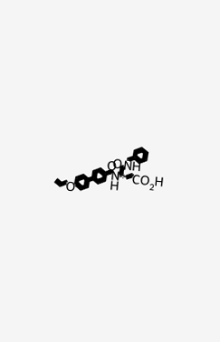 C=CCOc1ccc(-c2ccc(C(=O)N[C@@H](CCC(=O)O)C(=O)NCc3ccccc3)cc2)cc1